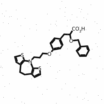 O=C(O)C(Cc1ccc(OCCCN2c3sccc3CCc3ccsc32)cc1)OCc1ccccc1